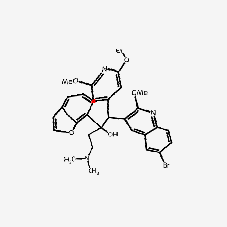 CCOc1cc(C(c2cc3cc(Br)ccc3nc2OC)C(O)(CCN(C)C)c2cccc3ccoc23)cc(OC)n1